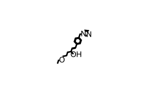 CCOCCCC(O)/C=C/c1ccc(Cn2ccnc2)cc1